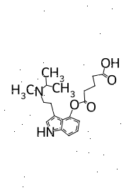 CC(C)N(C)CCc1c[nH]c2cccc(OC(=O)CCCC(=O)O)c12